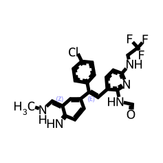 CN/C=C1C=C(/C(=C/c2ccc(NCC(F)(F)F)nc2NC=O)c2ccc(Cl)cc2)C=CC/1=N